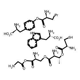 CC(C)C[C@H](N)C(=O)Oc1ccc(C[C@H](N)C(=O)O)cc1.C[C@@H](OC(=O)[C@@H](N)CS)[C@H](N)C(=O)OC[C@H](N)C(=O)OC(=O)CN.N[C@@H](Cc1c[nH]c2ccccc12)C(=O)O